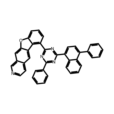 c1ccc(-c2nc(-c3ccc(-c4ccccc4)c4ccccc34)nc(-c3cccc4oc5cc6cnccc6cc5c34)n2)cc1